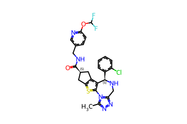 Cc1nnc2n1-c1sc3c(c1[C@@H](c1ccccc1Cl)NC2)C[C@H](C(=O)NCc1ccc(OC(F)F)nc1)C3